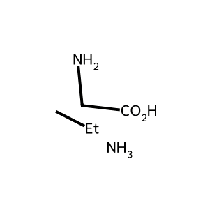 CCC.N.NCC(=O)O